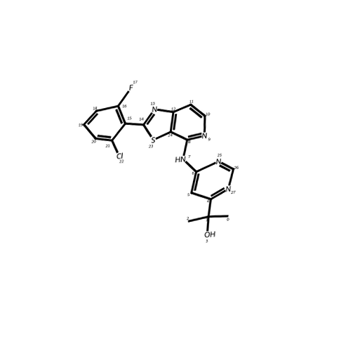 CC(C)(O)c1cc(Nc2nccc3nc(-c4c(F)cccc4Cl)sc23)ncn1